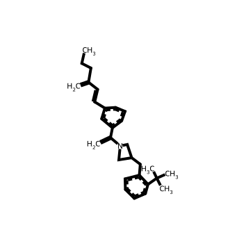 C=C(/C=C/c1cccc(C(=C)N2CC(Cc3ccccc3C(C)(C)C)C2)c1)CCC